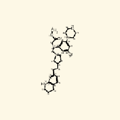 COC(=O)C[C@H](CN1CCC(CCc2ccc3c(n2)NCCC3)C1)c1cc(Br)cc(N2CCOCC2)c1